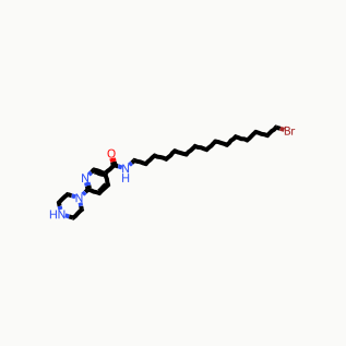 O=C(NCCCCCCCCCCCCCCCBr)c1ccc(N2CCNCC2)nc1